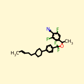 C/C=C/CCC1CCC(c2ccc(C(F)(F)OC(C)c3cc(F)c(C#N)c(F)c3)cc2)CC1